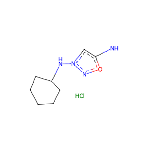 Cl.[NH-]c1c[n+](NC2CCCCC2)no1